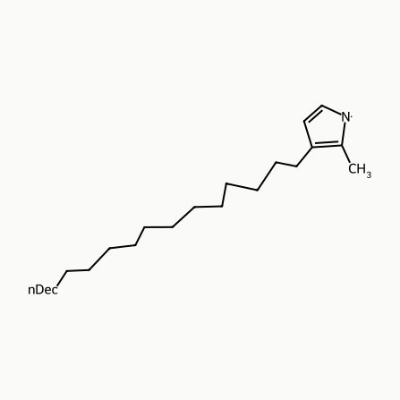 CCCCCCCCCCCCCCCCCCCCCCC1=C(C)[N]C=C1